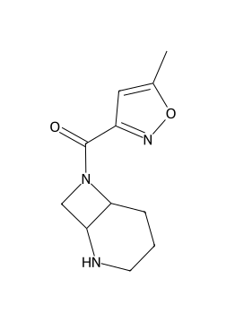 Cc1cc(C(=O)N2CC3NCCCC32)no1